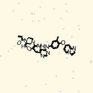 C=CC(=O)N1CCN2C[C@@H]1COc1cc3ncnc(Nc4ccc(Oc5ccn6ccnc6c5)c(C)c4)c3nc12